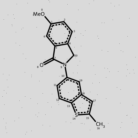 COc1ccc2c(c1)C(=O)N(c1ccc3sc(C)cc3c1)C2